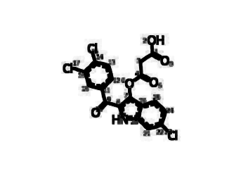 O=C(O)CC(=O)Oc1c(C(=O)c2ccc(Cl)c(Cl)c2)[nH]c2cc(Cl)ccc12